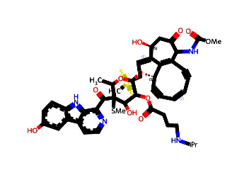 COC(=O)NC1C(=O)C[C@H](O)/C(=C/CS(C)(=S)=S)C2=C1C#C/C=C\C#C[C@@H]2OC1OC(C)C(SC)(C(=O)c2nccc3c2[nH]c2ccc(O)cc23)C(O)C1OC(=O)CCCNC(C)C